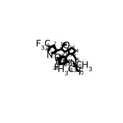 CC(C)Oc1ncc(C(F)(F)F)cc1C1COC2(CCC(CNC(C)(C)CF)C2c2ccc(F)cc2)C1